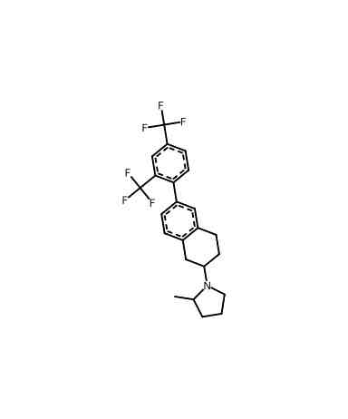 CC1CCCN1C1CCc2cc(-c3ccc(C(F)(F)F)cc3C(F)(F)F)ccc2C1